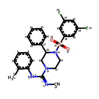 Cc1ccccc1N/C(=N/C#N)N1CCN(S(=O)(=O)c2cc(F)cc(F)c2)C(c2ccccc2)C1